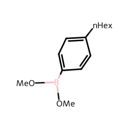 CCCCCCc1ccc(B(OC)OC)cc1